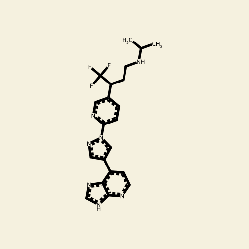 CC(C)NCCC(c1ccc(-n2cc(-c3ccnc4[nH]cnc34)cn2)nc1)C(F)(F)F